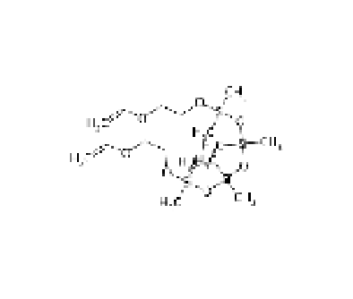 C=COCCO[Si](C)(C)O[Si](C)(C)O[Si](C)(C)O[Si](C)(C)OCCOC=C